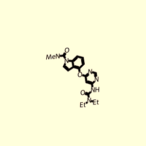 CCN(CC)C(=O)Nc1cc(Oc2cccc3c2ccn3C(=O)NC)ncn1